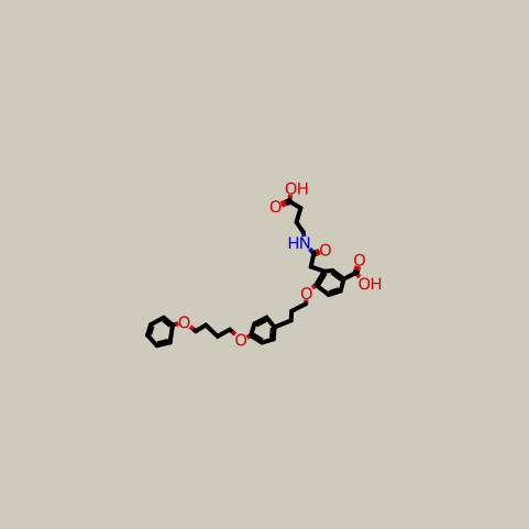 O=C(O)CCCNC(=O)Cc1cc(C(=O)O)ccc1OCCCc1ccc(OCCCCOc2ccccc2)cc1